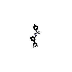 Cc1ccc([S@@+]([O-])/N=C/c2cccc(-c3cnn(C)c3)c2)cc1